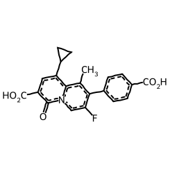 Cc1c(-c2ccc(C(=O)O)cc2)c(F)cn2c(=O)c(C(=O)O)cc(C3CC3)c12